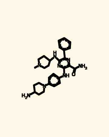 CN1CCC(Nc2nc(Nc3ccc(N4CCC(N)CC4)cc3)c(C(N)=O)nc2-c2ccccc2)CC1